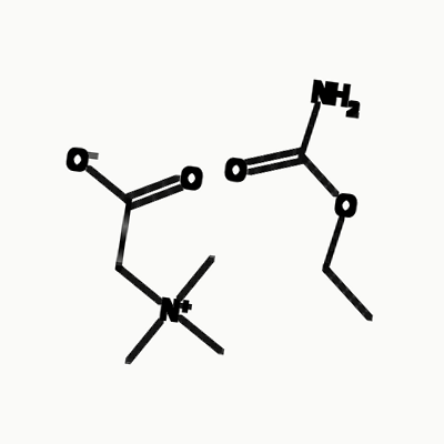 CCOC(N)=O.C[N+](C)(C)CC(=O)[O-]